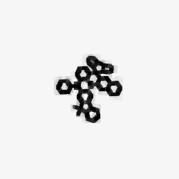 CC1(C)c2ccccc2-c2ccc(N(c3ccccc3)c3cccc4c3Sc3cc5ccccc5cc3C43c4ccccc4-c4ccccc43)cc21